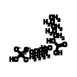 O.O.O.O.O.O.O.O.O.O.O=C(O)O.[O-][I+3]([O-])([O-])O